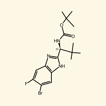 CC(C)(C)OC(=O)N[C@H](c1nc2cc(F)c(Br)cc2[nH]1)C(C)(C)C